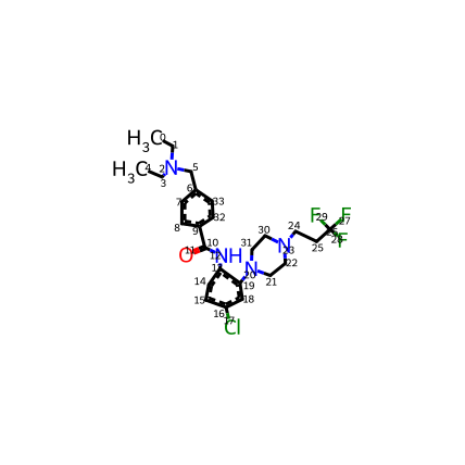 CCN(CC)Cc1ccc(C(=O)Nc2ccc(Cl)cc2N2CCN(CCC(F)(F)F)CC2)cc1